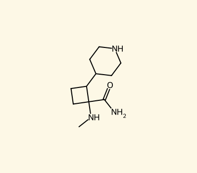 CNC1(C(N)=O)CCC1C1CCNCC1